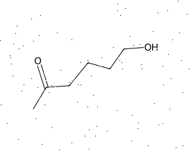 CC(=O)C[CH]CCO